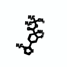 Cn1ccnc1C1=CC(F)C(N)(C(=O)OC(C)(C)C)C=C1